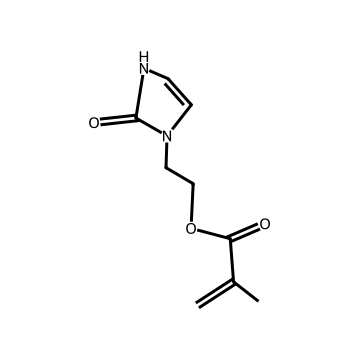 C=C(C)C(=O)OCCn1cc[nH]c1=O